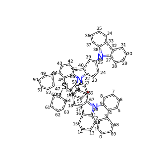 c1ccc(-c2ccccc2-n2c3ccccc3c3ccc(-n4c5ccc(-n6c7ccccc7c7ccccc76)cc5c5cccc([Si](c6ccccc6)(c6ccccc6)c6ccccc6)c54)cc32)cc1